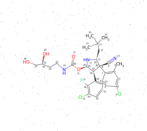 Cc1cc(Cl)ccc1[C@@]1(C#N)[C@H](CC(C)(C)C)N[C@H](OC(=O)NCC[C@H](O)CO)[C@@H]1c1cccc(Cl)c1F